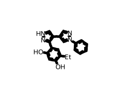 CCc1cc(-c2n[nH]cc2-c2cnn(-c3ccccc3)c2)c(O)cc1O